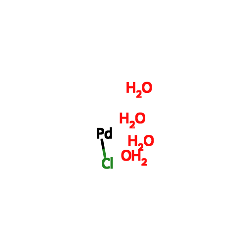 O.O.O.O.[Cl][Pd]